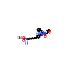 CC(C)(C)OC(=O)NCCCCCCCCc1ccc(-c2cn3c(=O)c(Cc4ccco4)nc-3c(Cc3ccccc3)[nH]2)cc1